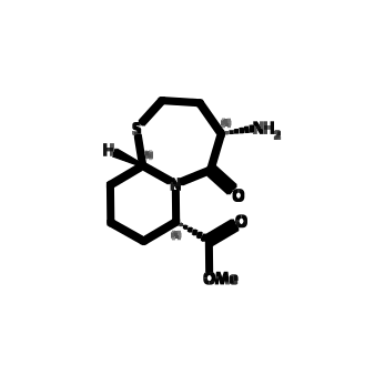 COC(=O)[C@@H]1CCC[C@@H]2SCC[C@H](N)C(=O)N21